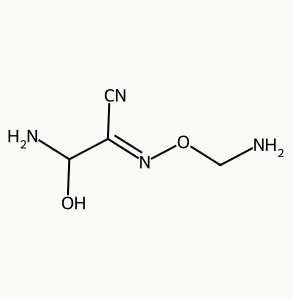 N#C/C(=N\OCN)C(N)O